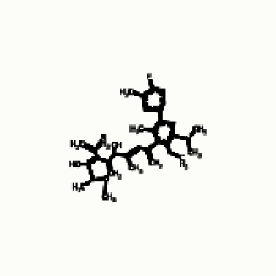 C=C(N)/C(C(=C)[C@@H](O)/C(C)=C/C(=C)c1c(C)c(-c2ccc(F)c(C)c2)cc(N(C)C)c1CC)=C(\O)[C@H](C)OC